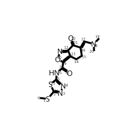 CSc1nnc(NC(=O)c2onc3c2CCC(=CN(C)C)C3=O)s1